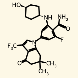 CC1(C)CC(=O)c2c(C(F)(F)F)cn(-c3cc(F)c(C(N)=O)c(N[C@H]4CC[C@H](O)CC4)c3)c2C1